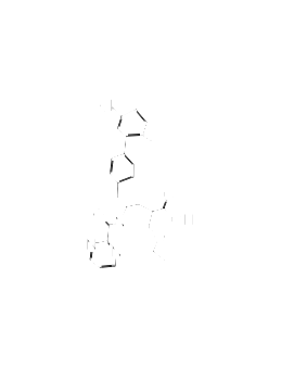 CCOCC(CC(Cc1ccc(-c2cc(Cl)ccc2F)cc1)NC(=O)c1ncccn1)C(=O)O